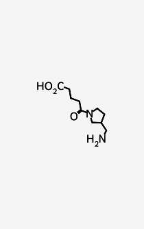 NCC1CCN(C(=O)CCCC(=O)O)C1